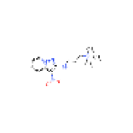 C[N+](C)(C)CCCNc1nn2ccccc2c1[N+](=O)[O-]